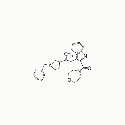 CN(Cc1c(C(=O)N2CCOCC2)nc2ccccn12)C1CCN(Cc2ccccc2)C1